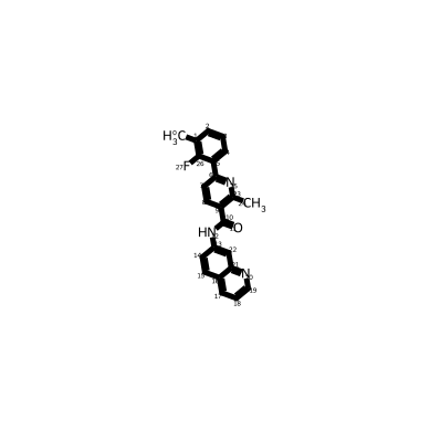 Cc1cccc(-c2ccc(C(=O)Nc3ccc4cccnc4c3)c(C)n2)c1F